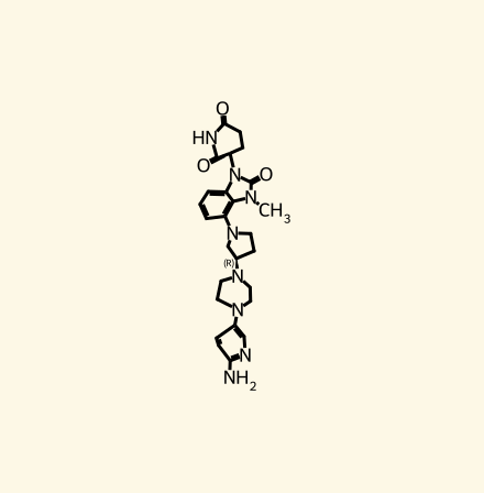 Cn1c(=O)n(C2CCC(=O)NC2=O)c2cccc(N3CC[C@@H](N4CCN(c5ccc(N)nc5)CC4)C3)c21